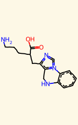 NCCCC(Cc1ncn2c1CNc1ccccc1-2)C(=O)O